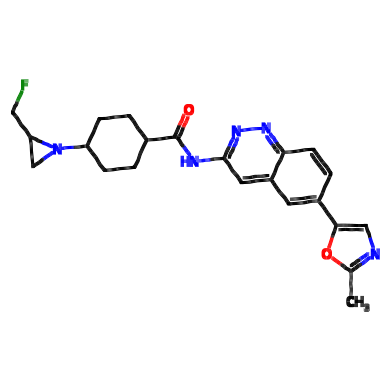 Cc1ncc(-c2ccc3nnc(NC(=O)C4CCC(N5CC5CF)CC4)cc3c2)o1